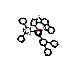 c1ccc(-c2nc(-c3ccccc3)nc(-c3cc(-c4ccc(-c5ccccc5)c(-c5ccccc5)c4)ccc3-c3cccc4sc5ccc6c7ccccc7n(-c7ccccc7)c6c5c34)n2)cc1